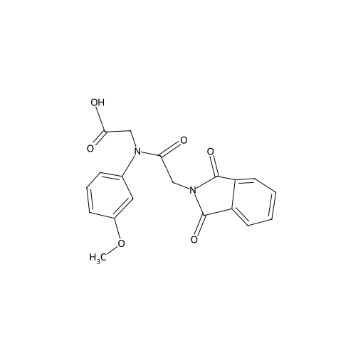 COc1cccc(N(CC(=O)O)C(=O)CN2C(=O)c3ccccc3C2=O)c1